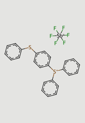 [F][Sb-]([F])([F])([F])([F])[F].c1ccc(Sc2ccc([S+](c3ccccc3)c3ccccc3)cc2)cc1